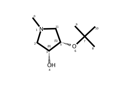 CN1C[C@@H](O)[C@@H](OC(C)(C)C)C1